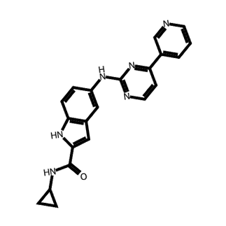 O=C(NC1CC1)c1cc2cc(Nc3nccc(-c4cccnc4)n3)ccc2[nH]1